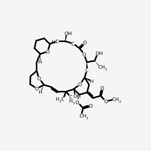 COC(=O)/C=C1\C[C@H]2C[C@H]([C@@H](C)O)OC(=O)C[C@H](O)C[C@@H]3CCC[C@H](CC4CCO[C@H](/C=C/C(C)(C)[C@](O)(O2)[C@H]1OC(C)=O)O4)O3